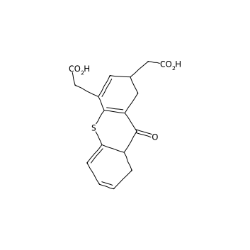 O=C(O)CC1=CC(CC(=O)O)CC2=C1SC1=CC=CCC1C2=O